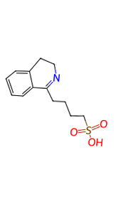 O=S(=O)(O)CCCCC1=NCCc2ccccc21